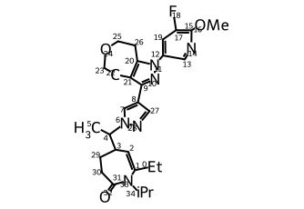 CCC1=CC(C(C)n2cc(-c3nn(-c4cnc(OC)c(F)c4)c4c3CCOCC4)cn2)CCC(=O)N1C(C)C